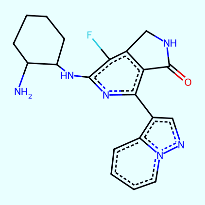 NC1CCCCC1Nc1nc(-c2cnn3ccccc23)c2c(c1F)CNC2=O